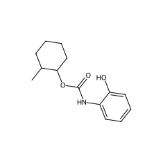 CC1CCCCC1OC(=O)Nc1ccccc1O